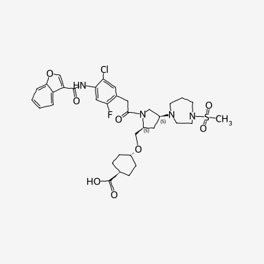 CS(=O)(=O)N1CCCN([C@H]2C[C@@H](CO[C@H]3CC[C@H](C(=O)O)CC3)N(C(=O)Cc3cc(Cl)c(NC(=O)c4coc5ccccc45)cc3F)C2)CC1